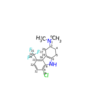 CN(C)C1CCc2[nH]c3c(Cl)ccc(C(F)(F)F)c3c2C1